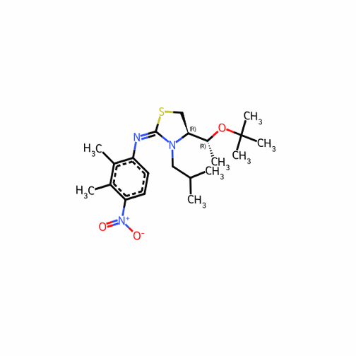 Cc1c(N=C2SC[C@@H]([C@@H](C)OC(C)(C)C)N2CC(C)C)ccc([N+](=O)[O-])c1C